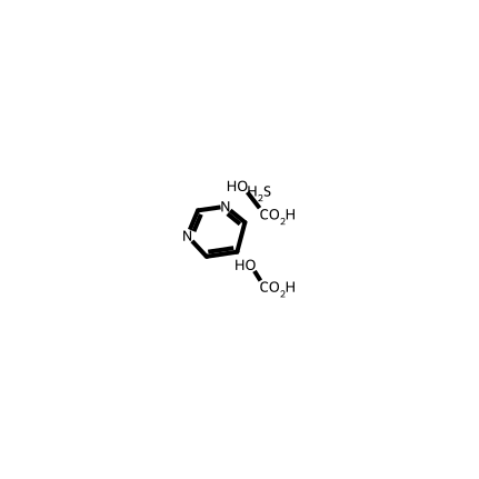 O=C(O)O.O=C(O)O.S.c1cncnc1